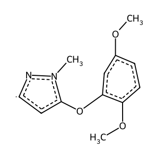 COc1ccc(OC)c(Oc2c[c]nn2C)c1